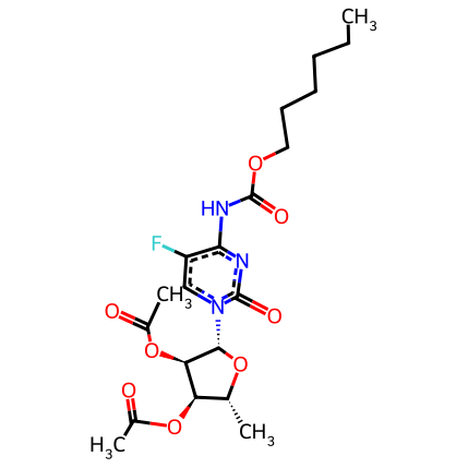 CCCCCCOC(=O)Nc1nc(=O)n([C@@H]2O[C@H](C)[C@@H](OC(C)=O)[C@H]2OC(C)=O)cc1F